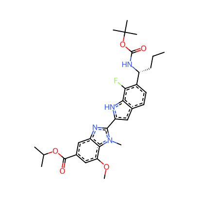 CCC[C@@H](NC(=O)OC(C)(C)C)c1ccc2cc(-c3nc4cc(C(=O)OC(C)C)cc(OC)c4n3C)[nH]c2c1F